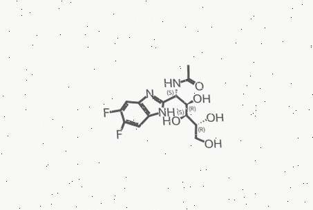 CC(=O)N[C@@H](c1nc2cc(F)c(F)cc2[nH]1)[C@@H](O)[C@H](O)[C@H](O)CO